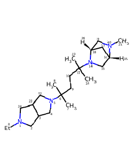 CCN1CC2CN(C(C)(C)CCC(C)(C)N3C[C@@H]4C[C@H]3CN4C)CC2C1